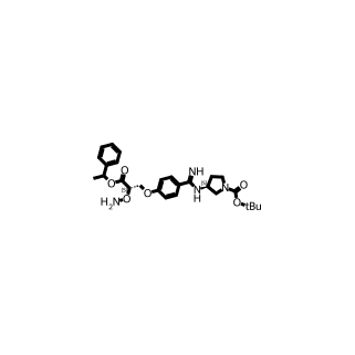 CC(OC(=O)[C@H](COc1ccc(C(=N)N[C@H]2CCN(C(=O)OC(C)(C)C)C2)cc1)ON)c1ccccc1